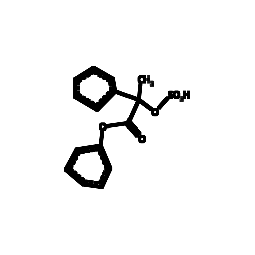 CC(OS(=O)(=O)O)(C(=O)Oc1ccccc1)c1ccccc1